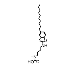 CCCCCCCCCCc1ccc2oc(NCCCCNC(=O)O)nc2c1